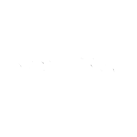 CCN(CC)[C@@H](C(=O)N1CCC[C@H]1c1nc2ccc(-c3cccc(-c4[nH]cnc4[C@@H]4CCCN4C(=O)[C@@H](c4ccccc4)N(CC)CC)c3)cc2[nH]1)c1ccccc1